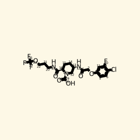 O=C(COc1ccc(Cl)c(F)c1)N[C@H]1CC[C@H](C(=O)NCCCOC(F)(F)F)N(C(=O)O)C1